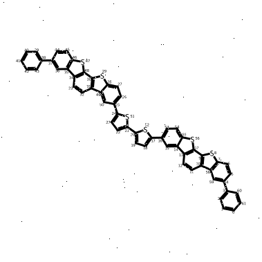 c1ccc(-c2ccc3sc4c(ccc5c6cc(-c7ccc(-c8ccc(-c9ccc%10sc%11c(ccc%12c%13cc(-c%14ccccc%14)ccc%13sc%12%11)c%10c9)s8)s7)ccc6sc54)c3c2)cc1